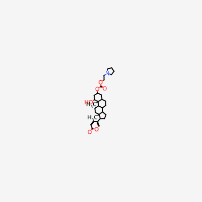 CC12CCC3C(CCC4CC(OC(=O)OCCN5CCCC5)CC(O)C43C)C1CCC2c1ccc(=O)oc1